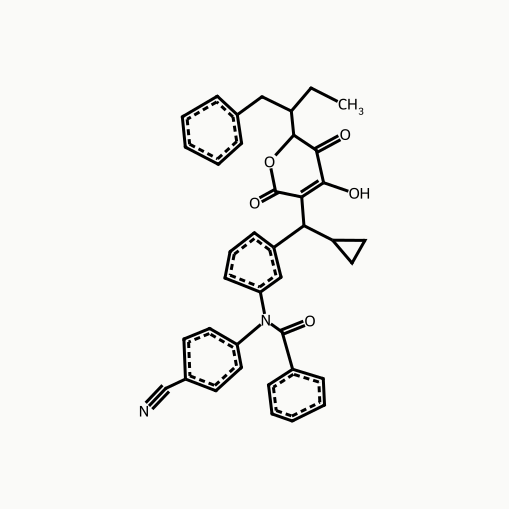 CCC(Cc1ccccc1)C1OC(=O)C(C(c2cccc(N(C(=O)c3ccccc3)c3ccc(C#N)cc3)c2)C2CC2)=C(O)C1=O